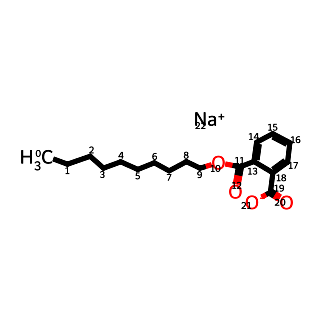 CCCCCCCCCCOC(=O)c1ccccc1C(=O)[O-].[Na+]